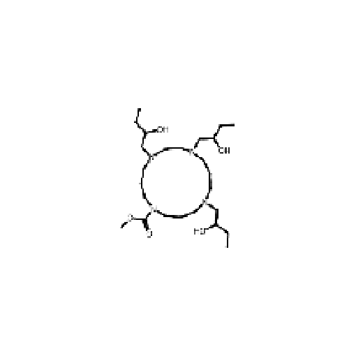 CCC(O)CN1CCCN(CC(O)CC)CCN(CC(O)CC)CCCN(C(=O)OC)CCC1